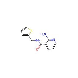 Nc1ncccc1C(=O)NCc1cccs1